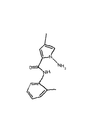 Cc1cc(C(=O)Nc2ccccc2C)n(N)c1